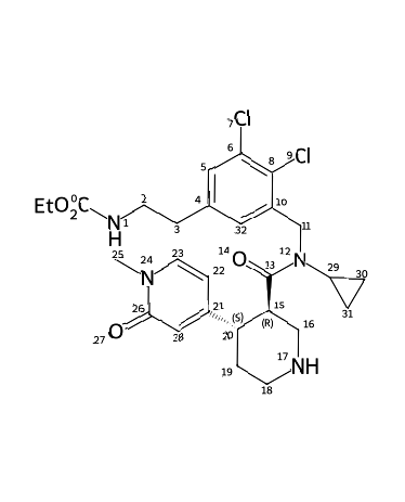 CCOC(=O)NCCc1cc(Cl)c(Cl)c(CN(C(=O)[C@H]2CNCC[C@@H]2c2ccn(C)c(=O)c2)C2CC2)c1